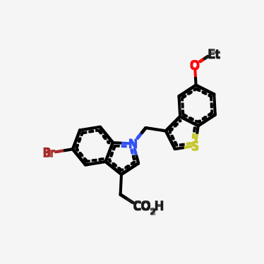 CCOc1ccc2scc(Cn3cc(CC(=O)O)c4cc(Br)ccc43)c2c1